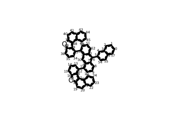 c1ccc2cc(-c3c4cccc(-c5cccc6oc7ccc8ccccc8c7c56)c4cc4c(-c5cccc6oc7ccc8ccccc8c7c56)cccc34)ccc2c1